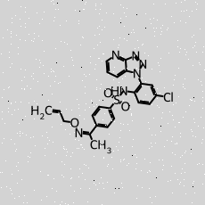 C=CCO/N=C(/C)c1ccc(S(=O)(=O)Nc2ccc(Cl)cc2-n2nnc3ncccc32)cc1